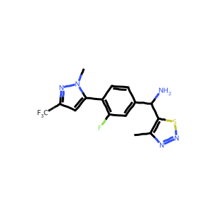 Cc1nnsc1C(N)c1ccc(-c2cc(C(F)(F)F)nn2C)c(F)c1